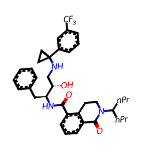 CCCC(CCC)N1CCc2c(C(=O)N[C@@H](Cc3ccccc3)[C@@H](O)CNC3(c4cccc(C(F)(F)F)c4)CC3)cccc2C1=O